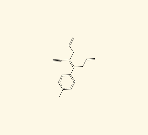 C#CC(CC=C)=C(CC=C)c1ccc(C)cc1